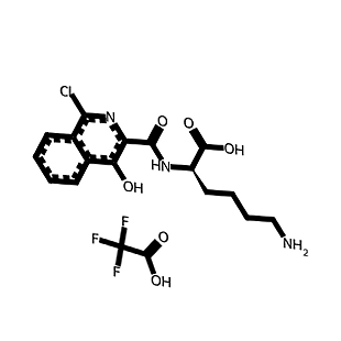 NCCCC[C@@H](NC(=O)c1nc(Cl)c2ccccc2c1O)C(=O)O.O=C(O)C(F)(F)F